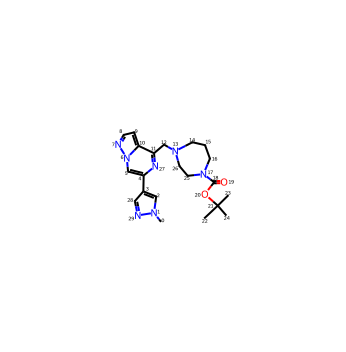 Cn1cc(-c2cn3nccc3c(CN3CCCN(C(=O)OC(C)(C)C)CC3)n2)cn1